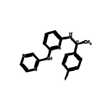 C[C@H](Nc1c[c]cc(Nc2cnccn2)n1)c1ccc(F)cc1